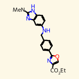 CCOC(=O)c1coc(-c2ccc(CNc3ccc4[nH]c(NC)nc4c3)cc2)n1